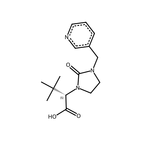 CC(C)(C)[C@@H](C(=O)O)N1CCN(Cc2cccnc2)C1=O